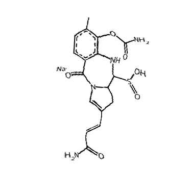 Cc1ccc2c(c1OC(N)=O)NC(S(=O)O)C1CC(C=CC(N)=O)=CN1C2=O.[Na]